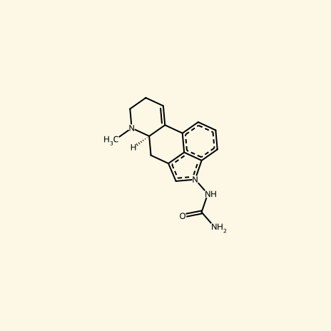 CN1CCC=C2c3cccc4c3c(cn4NC(N)=O)C[C@H]21